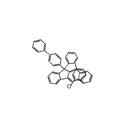 Clc1cccc(-c2ccccc2C2(c3ccc(-c4ccccc4)cc3)c3ccccc3-c3cc4ccccc4cc32)c1